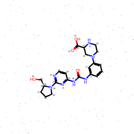 O=C(Nc1cccc(N2CCNC(C(=O)O)C2)c1)Nc1ccnc(N2CCC[C@H]2CO)n1